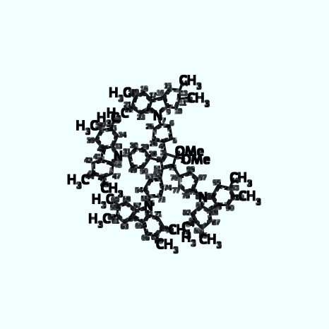 COC1(OC)C(c2ccc(-n3c4cc(C)c(C)cc4c4cc(C)c(C)cc43)cc2)=C(c2ccc(-n3c4cc(C)c(C)cc4c4cc(C)c(C)cc43)cc2)C(c2ccc(-n3c4cc(C)c(C)cc4c4cc(C)c(C)cc43)cc2)=C1c1ccc(-n2c3cc(C)c(C)cc3c3cc(C)c(C)cc32)cc1